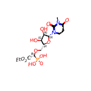 CCOC(=O)[C@H](OC[C@H]1O[C@@H](n2ccc(=O)n(C)c2=O)[C@H](O)[C@@H]1O)P(=O)(O)O